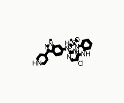 Cn1nc(C2CCNCC2)c2ccc(Nc3ncc(Cl)c(Nc4ccccc4NS(C)(=O)=O)n3)cc21